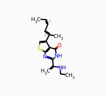 C=C(NCC)c1nc2scc(/C(C)=C/C=C\C)c2c(=O)[nH]1